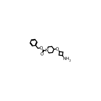 NC1CC(OC2CCN(C(=O)OCc3ccccc3)CC2)C1